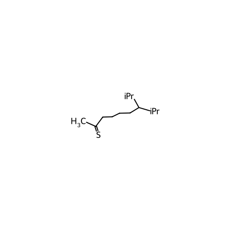 CC(=S)CCCCC(C(C)C)C(C)C